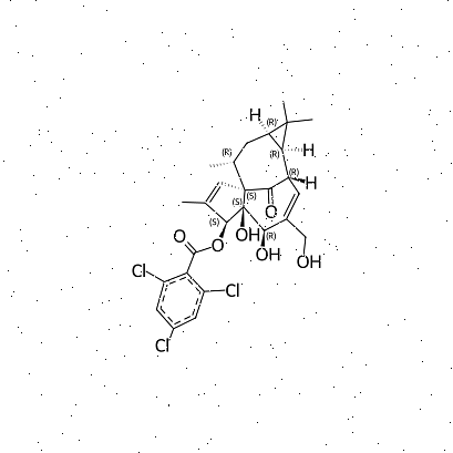 CC1=C[C@]23C(=O)[C@@H](C=C(CO)[C@@H](O)[C@]2(O)[C@H]1OC(=O)c1c(Cl)cc(Cl)cc1Cl)[C@H]1[C@@H](C[C@H]3C)C1(C)C